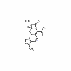 Cc1ncsc1/C=C\C1=C(C(=O)O)N2C(=O)[C@@H](N)[C@H]2CC1